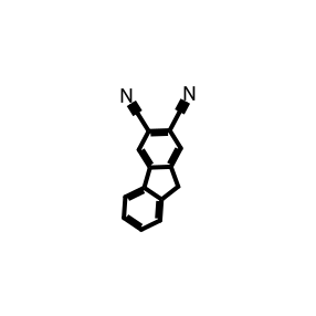 N#Cc1cc2c(cc1C#N)-c1ccccc1C2